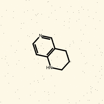 [C]1CNc2ccncc2C1